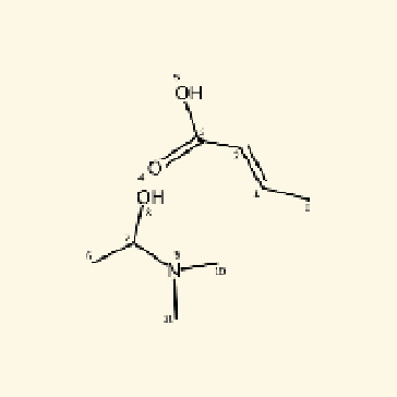 C/C=C/C(=O)O.CC(O)N(C)C